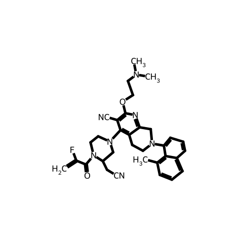 C=C(F)C(=O)N1CCN(c2c(C#N)c(OCCN(C)C)nc3c2CCN(c2cccc4cccc(C)c24)C3)CC1CC#N